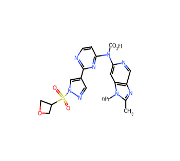 CCCn1c(C)nc2cnc(N(C(=O)O)c3ccnc(-c4cnn(S(=O)(=O)C5COC5)c4)n3)cc21